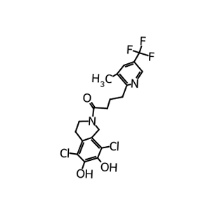 Cc1cc(C(F)(F)F)cnc1CCCC(=O)N1CCc2c(Cl)c(O)c(O)c(Cl)c2C1